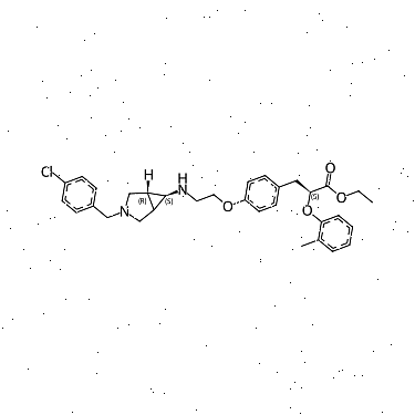 CCOC(=O)[C@H](Cc1ccc(OCCN[C@H]2C3CN(Cc4ccc(Cl)cc4)C[C@@H]32)cc1)Oc1ccccc1C